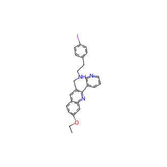 CCOc1ccc2cc(CNCCc3ccc(I)cc3)c(-c3cccnc3)nc2c1